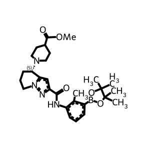 COC(=O)C1CCN([C@H]2CCCn3nc(C(=O)Nc4cccc(B5OC(C)(C)C(C)(C)O5)c4C)cc32)CC1